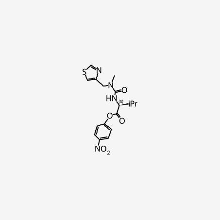 CC(C)[C@H](NC(=O)N(C)Cc1cscn1)C(=O)Oc1ccc([N+](=O)[O-])cc1